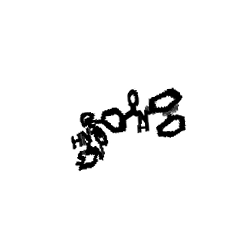 O=C(N[C@@H]1CCC[C@@H]1c1ccccc1)c1ccc(S(=O)(=O)Nc2nccs2)cc1